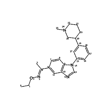 CCON=C(C)c1ccc2c(c1)ncn2-c1cccc(C2CCCN(C)C2)c1